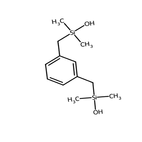 C[Si](C)(O)Cc1cccc(C[Si](C)(C)O)c1